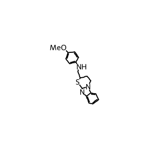 COc1ccc(NCC2CCn3c(nc4ccccc43)S2)cc1